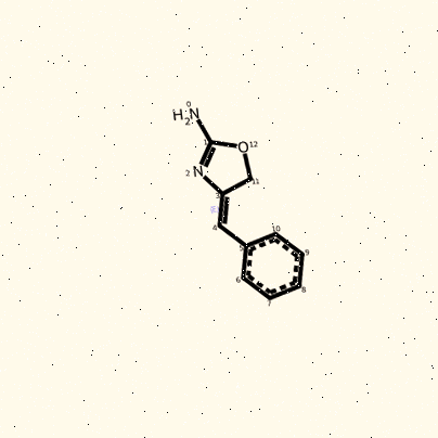 NC1=N/C(=C/c2ccccc2)CO1